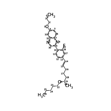 C=CCOc1ccc2nc(-c3ccc(C=CCCCC(C)OCCCCC)cc3F)cnc2c1